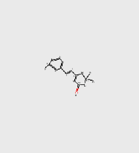 Cc1cccc(/C=C/C2=CC(=O)CC(C)(C)C2)c1